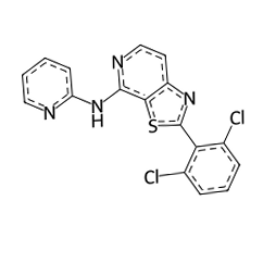 Clc1cccc(Cl)c1-c1nc2ccnc(Nc3ccccn3)c2s1